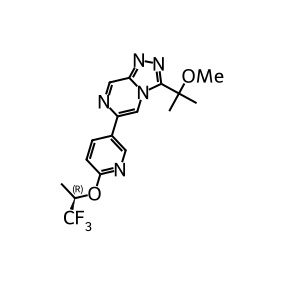 COC(C)(C)c1nnc2cnc(-c3ccc(O[C@H](C)C(F)(F)F)nc3)cn12